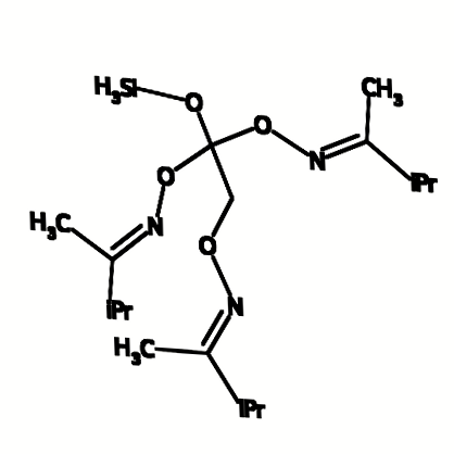 CC(=NOCC(O[SiH3])(ON=C(C)C(C)C)ON=C(C)C(C)C)C(C)C